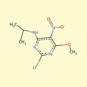 COc1nc(Cl)nc(NC(C)C)c1[N+](=O)[O-]